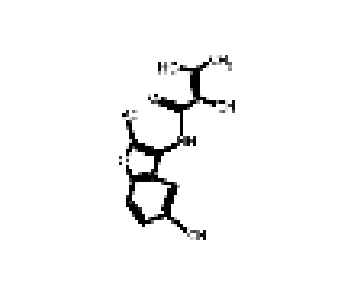 CC(=O)c1oc2ccc(C#N)cc2c1NC(=O)/C(C#N)=C(/C)O